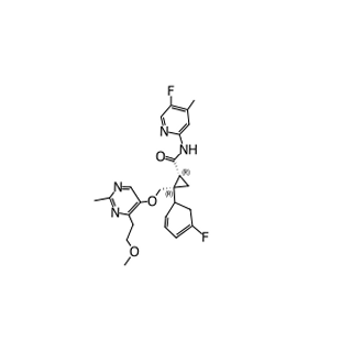 COCCc1nc(C)ncc1OC[C@@]1(C2C=CC=C(F)C2)C[C@H]1C(=O)Nc1cc(C)c(F)cn1